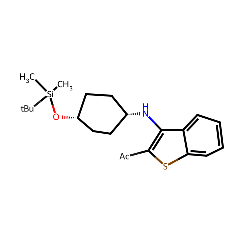 CC(=O)c1sc2ccccc2c1N[C@H]1CC[C@@H](O[Si](C)(C)C(C)(C)C)CC1